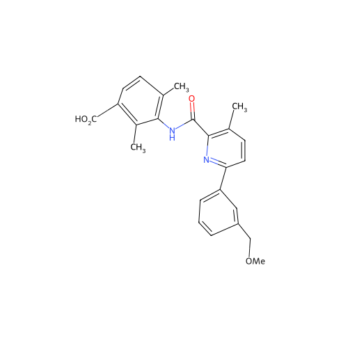 COCc1cccc(-c2ccc(C)c(C(=O)Nc3c(C)ccc(C(=O)O)c3C)n2)c1